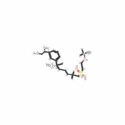 CC(=O)OC[C@@H](OC(C)=O)c1cccc([C@@](C)(CCCC(C)(C)CS(=O)(=O)CCO[Si](C)(C)C(C)(C)C)C(=O)O)c1